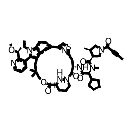 CC#CC(=O)N1C[C@H](C)[C@H](C(=O)N(C)[C@H](C(=O)N[C@H]2Cc3nc(cs3)-c3ccc4c(c3)c(c(-c3cccnc3[C@H](C)OC)n4CC)CC(C)(C)COC(=O)[C@@H]3CCCN(N3)C2=O)C2CCCC2)C1